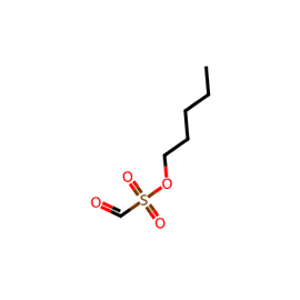 CCCCCOS(=O)(=O)C=O